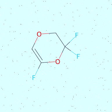 FC1=COCC(F)(F)O1